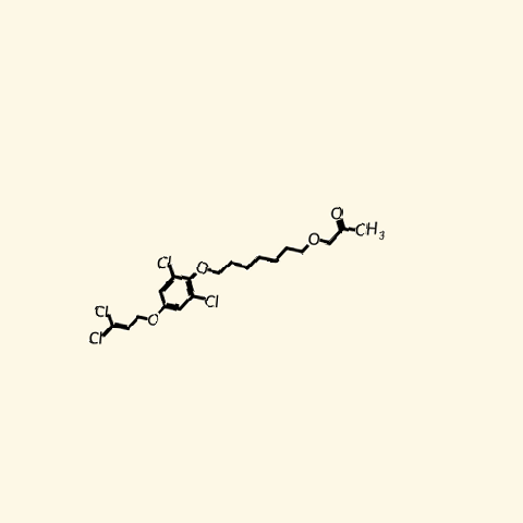 CC(=O)COCCCCCCCOc1c(Cl)cc(OCC=C(Cl)Cl)cc1Cl